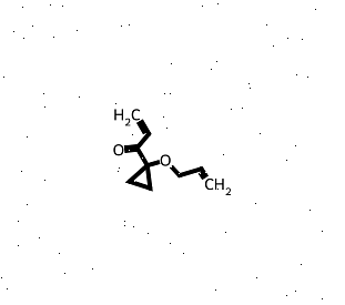 C=CCOC1(C(=O)C=C)CC1